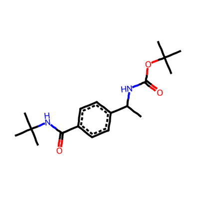 CC(NC(=O)OC(C)(C)C)c1ccc(C(=O)NC(C)(C)C)cc1